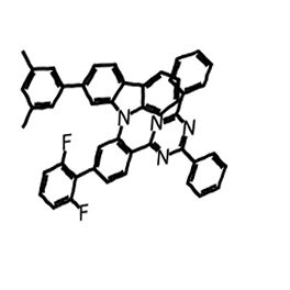 Cc1cc(C)cc(-c2ccc3c4ccccc4n(-c4cc(-c5c(F)cccc5F)ccc4-c4nc(-c5ccccc5)nc(-c5ccccc5)n4)c3c2)c1